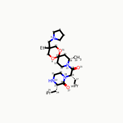 CCC1(CN2CCCC2)COC2(CCN(C(=O)[C@H](CC(C)C)N3CCN[C@@H](CC(C)C)C3=O)[C@@H](C)C2)OC1